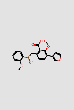 COc1ccccc1[S+]([O-])Cc1ccc(-c2ccoc2)c(OC)c1C(=O)O